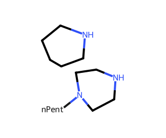 C1CCNCC1.CCCCCN1CCNCC1